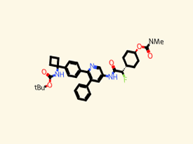 CNC(=O)O[C@H]1CC[C@H](C(F)C(=O)Nc2cnc(-c3ccc(C4(NC(=O)OC(C)(C)C)CCC4)cc3)c(-c3ccccc3)c2)CC1